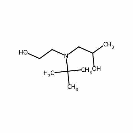 CC(O)CN(CCO)C(C)(C)C